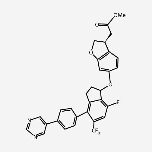 COC(=O)C[C@@H]1COc2cc(OC3CCc4c(-c5ccc(-c6cncnc6)cc5)c(C(F)(F)F)cc(F)c43)ccc21